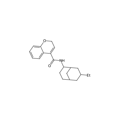 CCC1CC2CCC(NC(=O)C3=CCOc4ccccc43)C(C1)C2